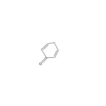 O=C1C=CCC=C1